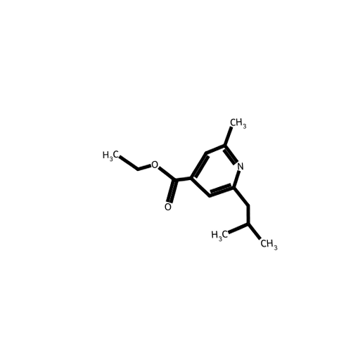 CCOC(=O)c1cc(C)nc(CC(C)C)c1